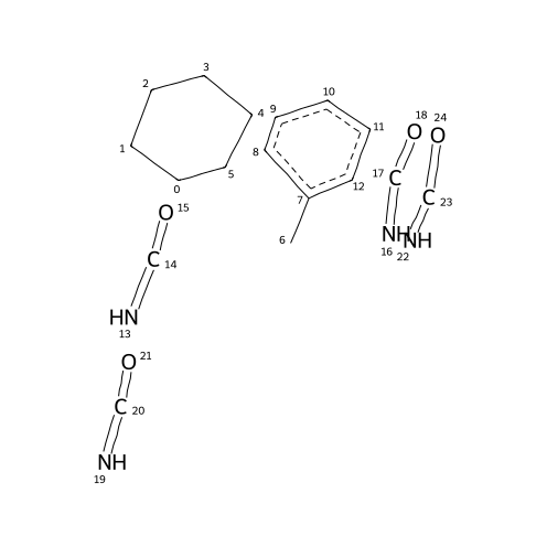 C1CCCCC1.Cc1ccccc1.N=C=O.N=C=O.N=C=O.N=C=O